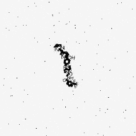 CC1(N2CC[C@H]3[C@@H]2CCN3C(=O)CNC(=O)c2cccc(C(F)(F)F)c2)CCC(O)(c2ccc(-c3ncccn3)cn2)CC1